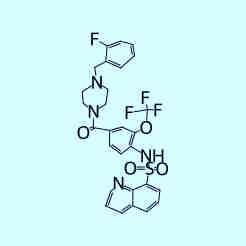 O=C(c1ccc(NS(=O)(=O)c2cccc3cccnc23)c(OC(F)(F)F)c1)N1CCN(Cc2ccccc2F)CC1